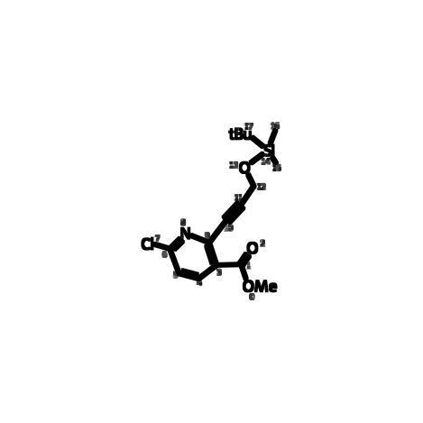 COC(=O)c1ccc(Cl)nc1C#CCO[Si](C)(C)C(C)(C)C